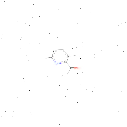 COC(=O)c1nc(C)ccc1C(F)(F)F